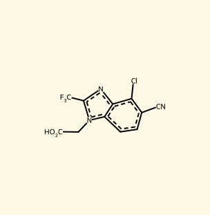 N#Cc1ccc2c(nc(C(F)(F)F)n2CC(=O)O)c1Cl